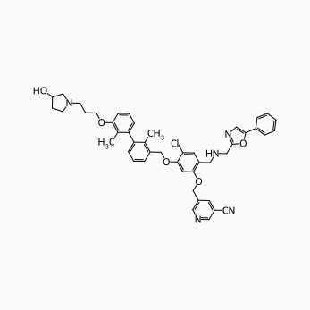 Cc1c(COc2cc(OCc3cncc(C#N)c3)c(CNCc3ncc(-c4ccccc4)o3)cc2Cl)cccc1-c1cccc(OCCCN2CCC(O)C2)c1C